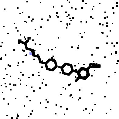 COc1ccc(C)c(C2CCC([C@H]3CC[C@H](CC/C=C/CC(F)F)CC3)CC2)c1